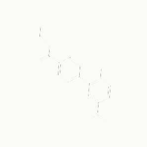 CCOC(=O)c1ccc(-c2cc([N+](=O)[O-])ccc2Cl)cc1